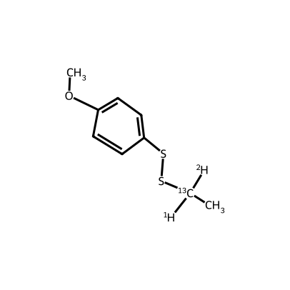 [1H][13C]([2H])(C)SSc1ccc(OC)cc1